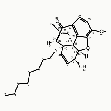 CCCCCCCCN[C@@]12C=C[C@H](O)[C@@H]3Oc4c(O)ccc5c4[C@@]31CCN(C)[C@@H]2C5=O